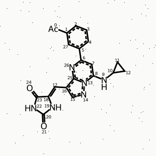 CC(=O)c1cccc(-c2cc(NC3CC3)n3ncc(/C=C4\NC(=O)NC4=O)c3n2)c1